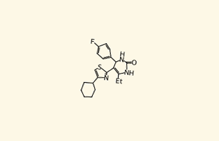 CCC1=C(c2nc(C3CCCCC3)cs2)C(c2ccc(F)cc2)NC(=O)N1